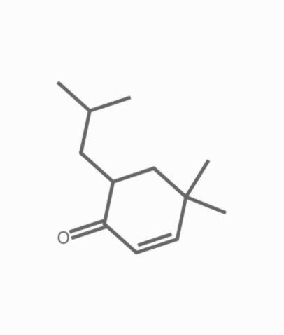 CC(C)CC1CC(C)(C)C=CC1=O